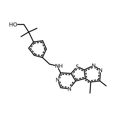 Cc1nnc2sc3c(NCc4ccc(C(C)(C)CO)cc4)ncnc3c2c1C